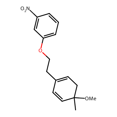 COC1(C)C=CC(CCOc2cccc([N+](=O)[O-])c2)=CC1